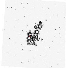 COc1nc2ccc(C(=O)c3cccc(Br)c3)cc2cc1C(c1ccccc1)C(O)(CCN(C)C)c1cccc2ccccc12